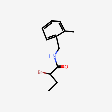 CCC(Br)C(=O)NCc1ccccc1C